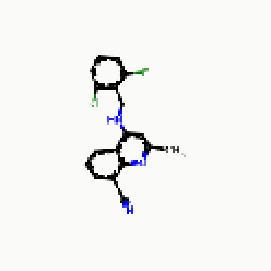 Cc1cc(NCc2c(F)cccc2Cl)c2cccc(C#N)c2n1